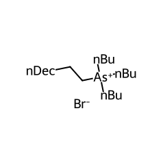 CCCCCCCCCCCC[As+](CCCC)(CCCC)CCCC.[Br-]